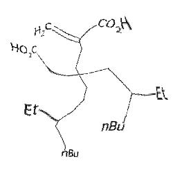 C=C(C(=O)O)C(CC(=O)O)(CC(CC)CCCC)CC(CC)CCCC